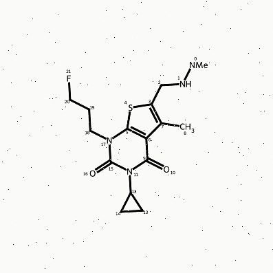 CNNCc1sc2c(c1C)c(=O)n(C1CC1)c(=O)n2CCCF